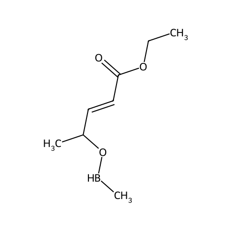 CBOC(C)/C=C/C(=O)OCC